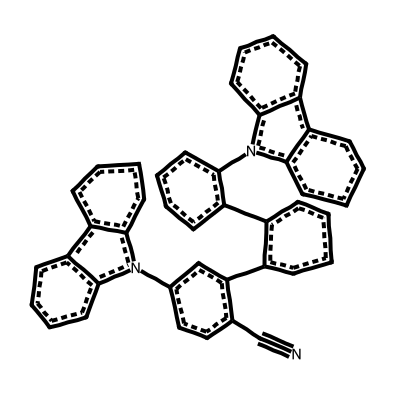 N#Cc1ccc(-n2c3ccccc3c3ccccc32)cc1-c1ccccc1-c1ccccc1-n1c2ccccc2c2ccccc21